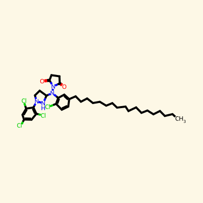 CCCCCCCCCCCCCCCCCCc1ccc(Cl)c(N(C2CCN(c3c(Cl)cc(Cl)cc3Cl)N2)N2C(=O)CCC2=O)c1